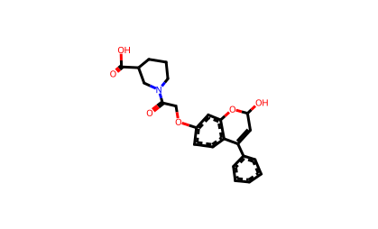 O=C(O)C1CCCN(C(=O)COc2ccc3c(c2)OC(O)C=C3c2ccccc2)C1